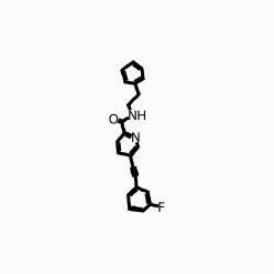 O=C(NCCc1ccccc1)c1ccc(C#Cc2cccc(F)c2)cn1